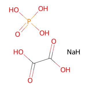 O=C(O)C(=O)O.O=P(O)(O)O.[NaH]